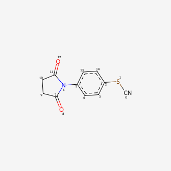 N#CSc1ccc(N2C(=O)CCC2=O)cc1